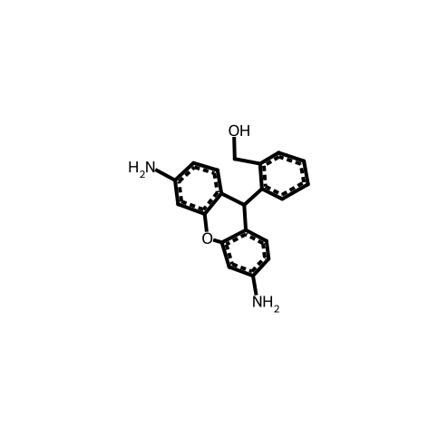 Nc1ccc2c(c1)Oc1cc(N)ccc1C2c1ccccc1CO